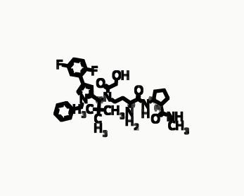 CNC(=O)[C@@H]1CCC[C@@H]1NC(=O)[C@@H](N)CCN(C(=O)CO)[C@@H](c1cc(-c2cc(F)ccc2F)cn1Cc1ccccc1)C(C)(C)C